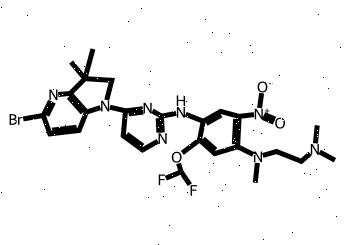 CN(C)CCN(C)c1cc(OC(F)F)c(Nc2nccc(N3CC(C)(C)c4nc(Br)ccc43)n2)cc1[N+](=O)[O-]